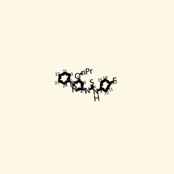 CCCOc1c/c(=N\C(=S)Nc2ccc(F)cc2)cnn1-c1ccccc1